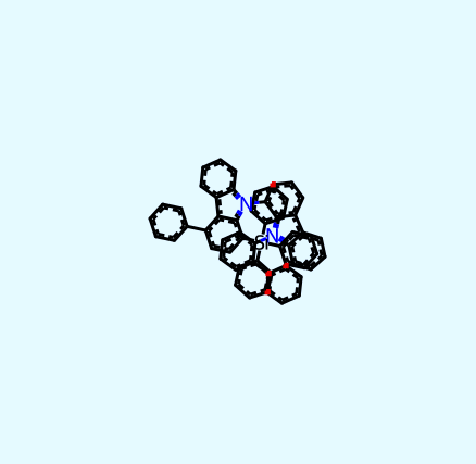 c1ccc(-c2ccccc2-n2c3ccccc3c3cccc(-n4c5ccccc5c5c(-c6ccccc6)ccc([Si](c6ccccc6)(c6ccccc6)c6ccccc6)c54)c32)cc1